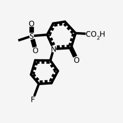 CS(=O)(=O)c1ccc(C(=O)O)c(=O)n1-c1ccc(F)cc1